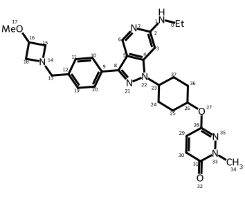 CCNc1cc2c(cn1)c(-c1ccc(CN3CC(OC)C3)cc1)nn2C1CCC(Oc2ccc(=O)n(C)n2)CC1